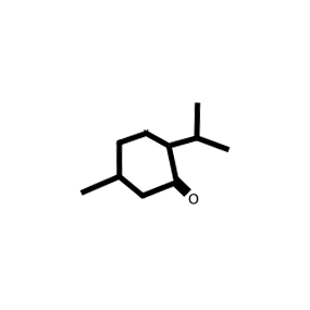 CC1C[C]C(C(C)C)C(=O)C1